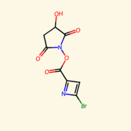 O=C(ON1C(=O)CC(O)C1=O)C1=NC(Br)=C1